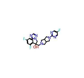 OC(CN1CC2CN(c3ncc(F)cn3)CC2C1)(Cn1cncn1)c1ccc(F)cc1F